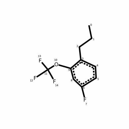 CCCc1ccc(F)cc1OC(F)(F)F